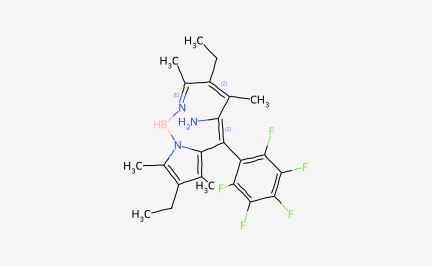 CCC1=C(C)/C(N)=C(\c2c(F)c(F)c(F)c(F)c2F)c2c(C)c(CC)c(C)n2B\N=C\1C